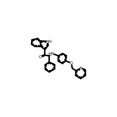 O=C(c1c[nH]c2ccccc12)C(Nc1ccc(OCc2ccccn2)cc1)c1ccccc1